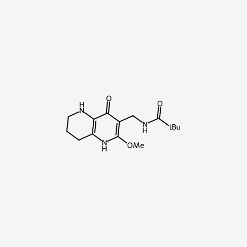 COc1[nH]c2c(c(=O)c1CNC(=O)C(C)(C)C)NCCC2